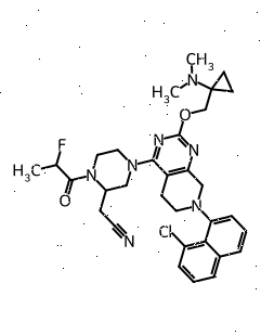 CC(F)C(=O)N1CCN(c2nc(OCC3(N(C)C)CC3)nc3c2CCN(c2cccc4cccc(Cl)c24)C3)CC1CC#N